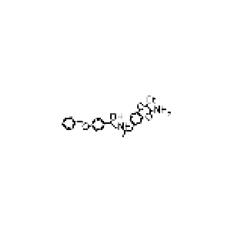 CCC(Oc1ccc(CC(C)NCC(O)c2ccc(OCc3ccccc3)cc2)cc1)C(N)=O